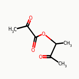 CC(=O)C(=O)OC(C)C(C)=O